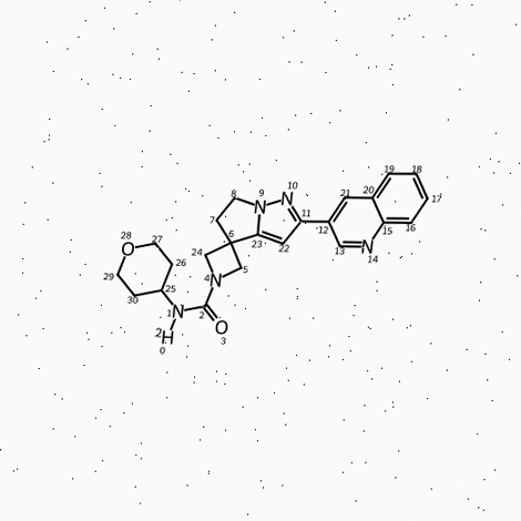 [2H]N(C(=O)N1CC2(CCn3nc(-c4cnc5ccccc5c4)cc32)C1)C1CCOCC1